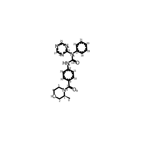 C[C@H]1COCCN1C(=O)c1ccc(NC(=O)N(c2ccccc2)c2ncncn2)cc1